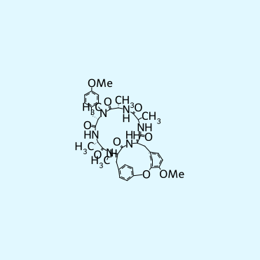 COc1ccc(C[C@H]2C(=O)N[C@@H](C)C(=O)N(C)[C@H]3Cc4ccc(cc4)Oc4cc(ccc4OC)C[C@H](NC3=O)C(=O)NC(C)C(=O)N[C@@H](C)C(=O)N2C)cc1